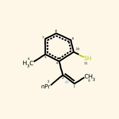 C/C=C(/CCC)c1c(C)cccc1S